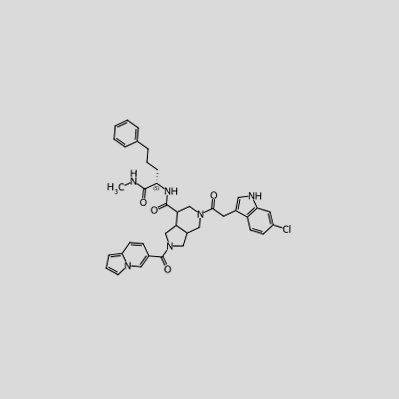 CNC(=O)[C@H](CCCc1ccccc1)NC(=O)C1CN(C(=O)Cc2c[nH]c3cc(Cl)ccc23)CC2CN(C(=O)c3ccc4cccn4c3)CC21